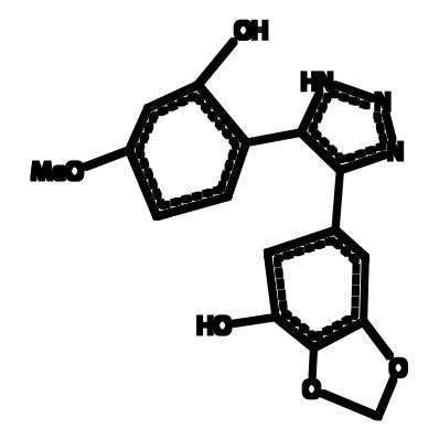 COc1ccc(-c2[nH]nnc2-c2cc(O)c3c(c2)OCO3)c(O)c1